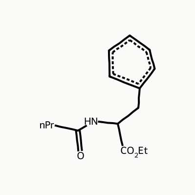 CCCC(=O)NC(Cc1ccccc1)C(=O)OCC